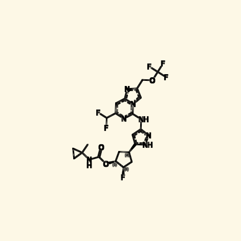 CC1(NC(=O)O[C@H]2C[C@@H](c3cc(Nc4nc(C(F)F)cc5nc(COC(F)(F)F)cn45)n[nH]3)C[C@H]2F)CC1